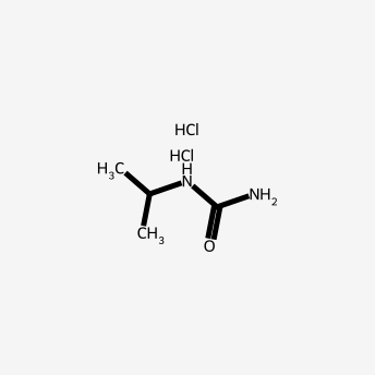 CC(C)NC(N)=O.Cl.Cl